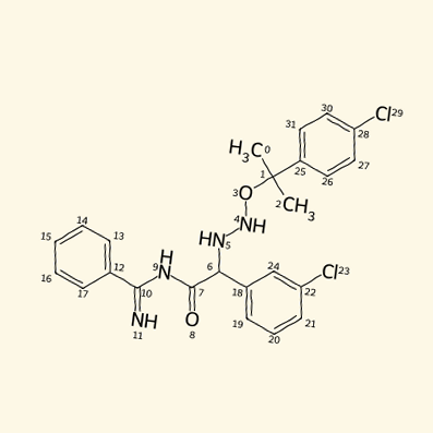 CC(C)(ONNC(C(=O)NC(=N)c1ccccc1)c1cccc(Cl)c1)c1ccc(Cl)cc1